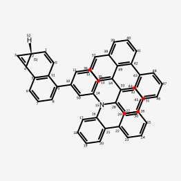 C1=C[C@H]2C=C2c2cccc(-c3cccc(N(c4ccccc4-c4ccccc4)c4ccccc4-c4cccc5cccc(-c6ccccc6)c45)c3)c21